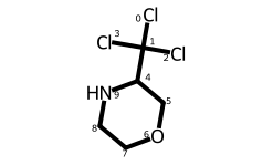 ClC(Cl)(Cl)C1COCCN1